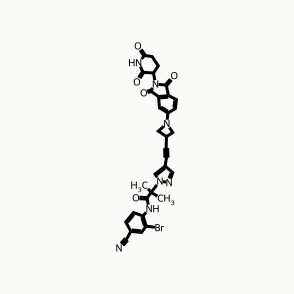 CC(C)(C(=O)Nc1ccc(C#N)cc1Br)n1cc(C#CC2CN(c3ccc4c(c3)C(=O)N(C3CCC(=O)NC3=O)C4=O)C2)cn1